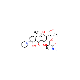 CC[C@H](CO)[C@H]1[C@H](C(=O)C(C)C(N)=O)C(O)=C2C(=O)c3c(ccc(N4CCCCC4)c3O)[C@H](C)[C@H]2[C@@H]1O